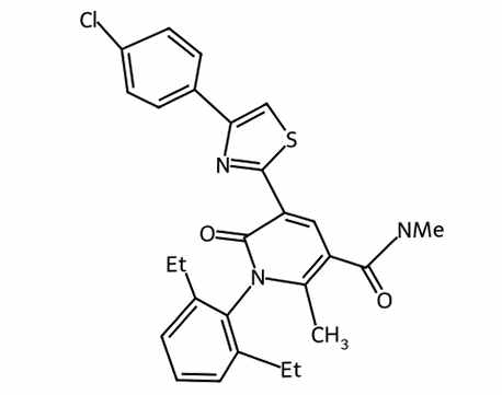 CCc1cccc(CC)c1-n1c(C)c(C(=O)NC)cc(-c2nc(-c3ccc(Cl)cc3)cs2)c1=O